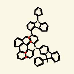 CC1(c2ccccc2)c2ccccc2-c2ccc(N(c3ccc(-c4cccc5c4c4ccccc4n5-c4ccccc4)cc3)c3ccccc3-c3cccc4cccc(-c5ccccc5)c34)cc21